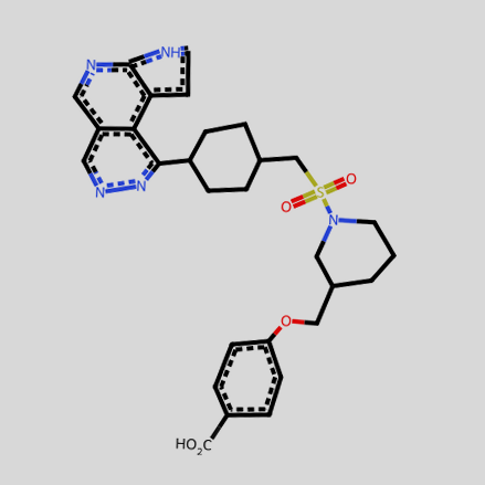 O=C(O)c1ccc(OCC2CCCN(S(=O)(=O)CC3CCC(c4nncc5cnc6[nH]ccc6c45)CC3)C2)cc1